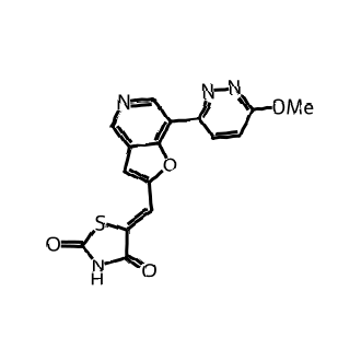 COc1ccc(-c2cncc3cc(/C=C4\SC(=O)NC4=O)oc23)nn1